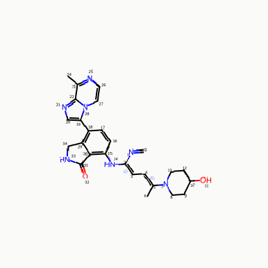 C=N/C(=C\C=C(/C)N1CCC(O)CC1)Nc1ccc(-c2cnc3c(C)nccn23)c2c1C(=O)NC2